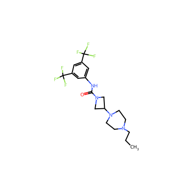 CCCN1CCN(C2CN(C(=O)Nc3cc(C(F)(F)F)cc(C(F)(F)F)c3)C2)CC1